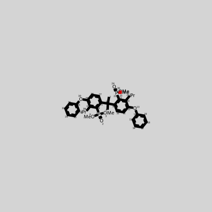 COP(=O)(OC)c1c(C(C)(C)c2ccc(Oc3ccccc3)c(C(C)C)c2P(=O)(OC)OC)ccc(Oc2ccccc2)c1C(C)C